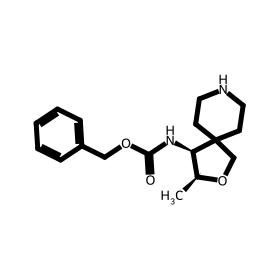 C[C@@H]1OCC2(CCNCC2)[C@@H]1NC(=O)OCc1ccccc1